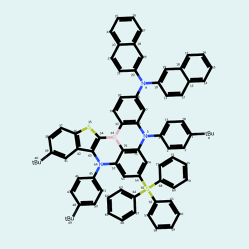 CC(C)(C)c1ccc(N2c3cc(N(c4ccc5ccccc5c4)c4ccc5ccccc5c4)ccc3B3c4sc5ccc(C(C)(C)C)cc5c4N(c4ccc(C(C)(C)C)cc4)c4cc(S(c5ccccc5)(c5ccccc5)c5ccccc5)cc2c43)cc1